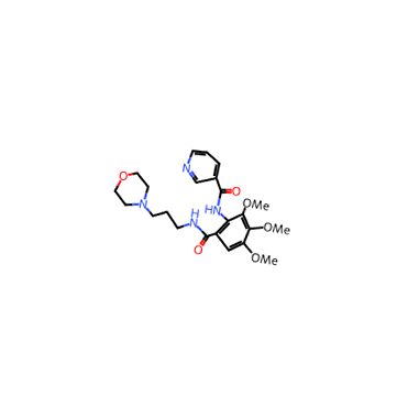 COc1cc(C(=O)NCCCN2CCOCC2)c(NC(=O)c2cccnc2)c(OC)c1OC